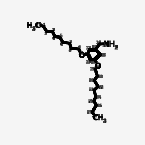 CCCCCCCCCCOc1cc(CN)cc(OCCCCCCCCCC)c1